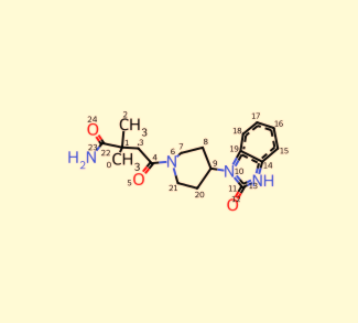 CC(C)([CH]C(=O)N1CCC(n2c(=O)[nH]c3ccccc32)CC1)C(N)=O